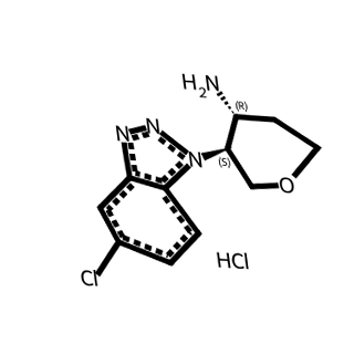 Cl.N[C@@H]1CCOC[C@H]1n1nnc2cc(Cl)ccc21